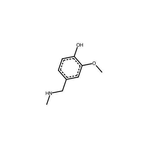 CNCc1ccc(O)c(OC)c1